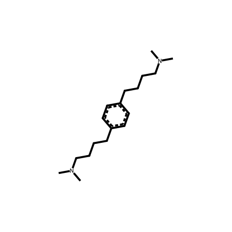 CN(C)CCCCc1ccc(CCCCN(C)C)cc1